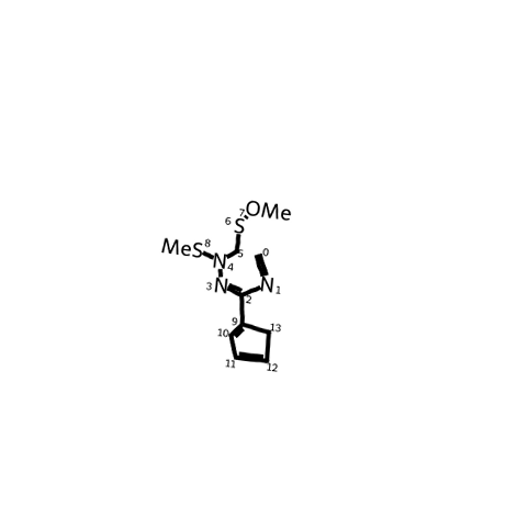 C=N/C(=N\N(CSOC)SC)C1=CC=CC1